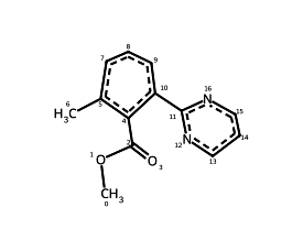 COC(=O)c1c(C)cccc1-c1ncccn1